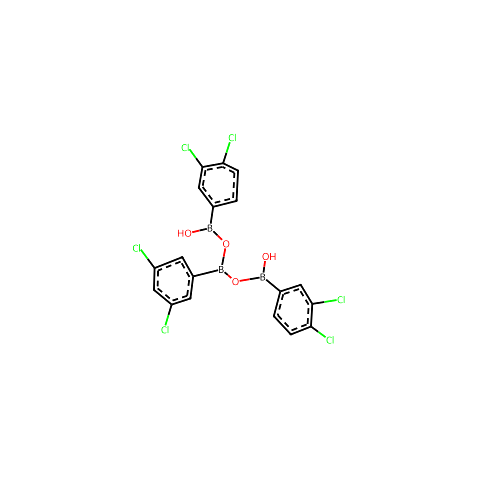 OB(OB(OB(O)c1ccc(Cl)c(Cl)c1)c1cc(Cl)cc(Cl)c1)c1ccc(Cl)c(Cl)c1